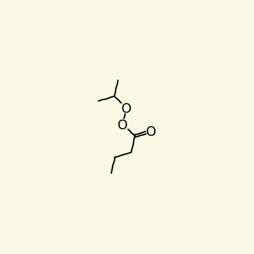 CCCC(=O)OOC(C)C